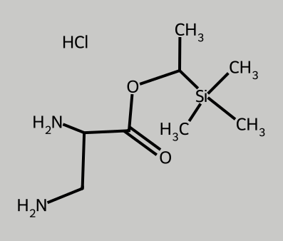 CC(OC(=O)C(N)CN)[Si](C)(C)C.Cl